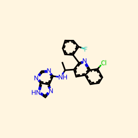 CC(Nc1ncnc2[nH]cnc12)c1cc2cccc(Cl)c2nc1-c1ccccc1F